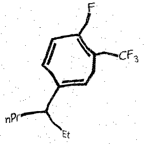 CCCC(CC)c1ccc(F)c(C(F)(F)F)c1